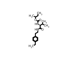 CCc1ccc(CCNC(=O)[C@@H](NC(=O)OC(C)CC)C(C)C)cc1